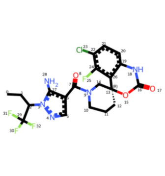 CCC(n1ncc(C(=O)N2CCC[C@@]3(C2)OC(=O)Nc2ccc(Cl)c(F)c23)c1N)C(F)(F)F